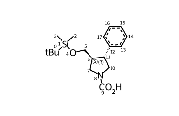 CC(C)(C)[Si](C)(C)OC[C@@H]1CN(C(=O)O)C[C@H]1c1ccccc1